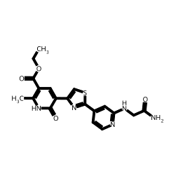 CCOC(=O)c1cc(-c2csc(-c3ccnc(NCC(N)=O)c3)n2)c(=O)[nH]c1C